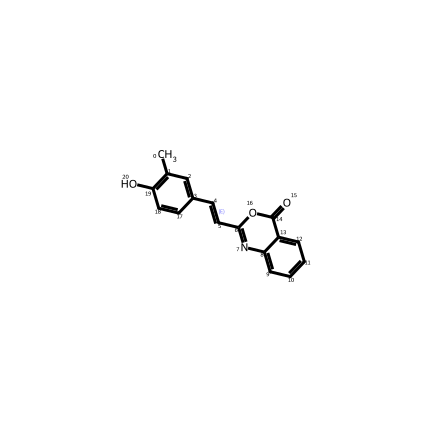 Cc1cc(/C=C/c2nc3ccccc3c(=O)o2)ccc1O